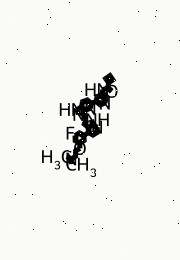 CN(C)CCOc1cc(F)cc(-c2ccnc3[nH]c(-c4n[nH]c5ccc(-c6cncc(NC(=O)C7CCC7)c6)nc45)cc23)c1